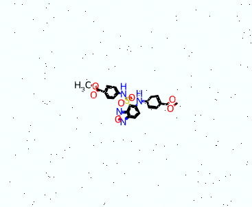 COC(=O)c1ccc(NS(=O)(=O)c2c(NC3C=CC(C4OCO4)=CC3)ccc3nonc23)cc1